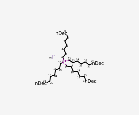 CCCCCCCCCCCCCCCC[P+](CCCCCCCCCCCCCCCC)(CCCCCCCCCCCCCCCC)CCCCCCCCCCCCCCCC.[I-]